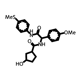 COc1ccc(C(NC(=O)C2CCC(O)C2)C(=O)Nc2ccc(SC)cc2)cc1